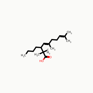 CCCCC(/C=C(\C)CCC=C(C)C)C(C)(C)C(=O)O